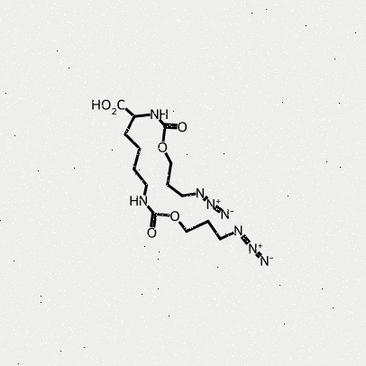 [N-]=[N+]=NCCCOC(=O)NCCCCC(NC(=O)OCCCN=[N+]=[N-])C(=O)O